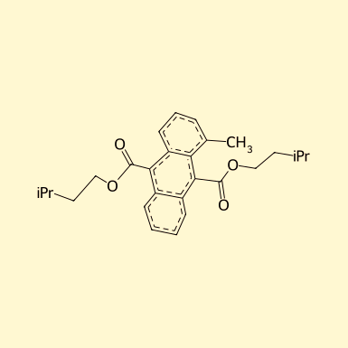 Cc1cccc2c(C(=O)OCCC(C)C)c3ccccc3c(C(=O)OCCC(C)C)c12